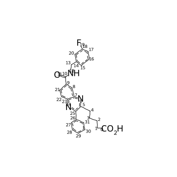 O=C(O)CCCCc1nc2cc(C(=O)NCc3cccc(F)c3)ccc2nc1-c1ccccc1